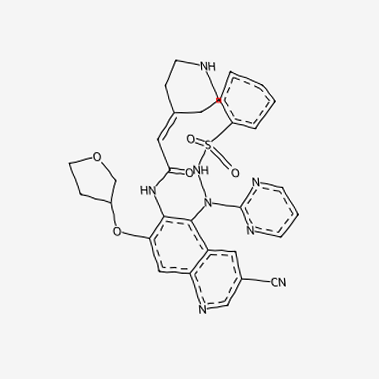 N#Cc1cnc2cc(OC3CCOC3)c(NC(=O)C=C3CCNCC3)c(N(NS(=O)(=O)c3ccccc3)c3ncccn3)c2c1